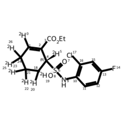 [2H]C1=C(C(=O)OCC)[C@]([2H])(S(=O)(=O)Nc2ccc(F)cc2Cl)C([2H])([2H])C([2H])([2H])C1([2H])[2H]